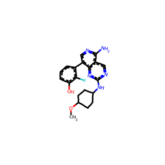 COC1CCC(Nc2ncc3c(N)ncc(-c4cccc(O)c4F)c3n2)CC1